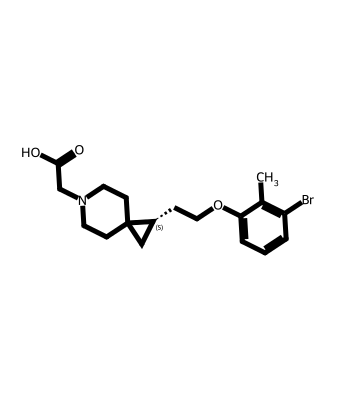 Cc1c(Br)cccc1OCC[C@@H]1CC12CCN(CC(=O)O)CC2